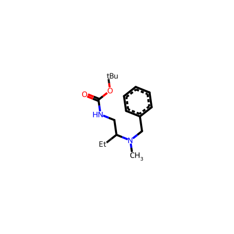 CCC(CNC(=O)OC(C)(C)C)N(C)Cc1ccccc1